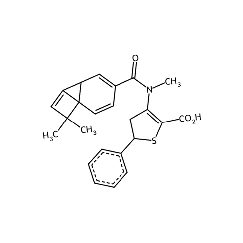 CN(C(=O)C1=CC2C3=CC(C)(C)C32C=C1)C1=C(C(=O)O)SC(c2ccccc2)C1